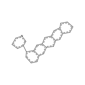 c1cncc(-c2cccc3cc4cc5cc6ccccc6cc5cc4cc23)c1